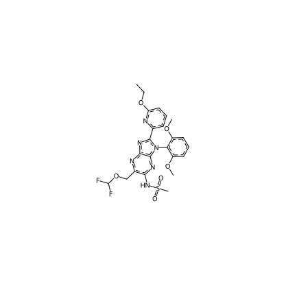 CCOc1cccc(-c2nc3nc(COC(F)F)c(NS(C)(=O)=O)nc3n2-c2c(OC)cccc2OC)n1